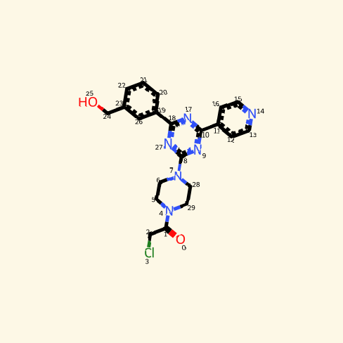 O=C(CCl)N1CCN(c2nc(-c3ccncc3)nc(-c3cccc(CO)c3)n2)CC1